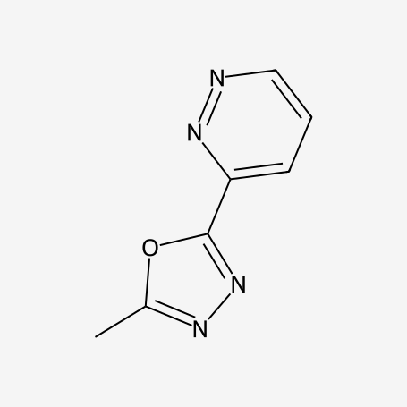 Cc1nnc(-c2cccnn2)o1